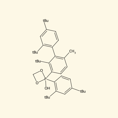 Cc1ccc(P2(O)(c3ccc(C(C)(C)C)cc3C(C)(C)C)OCO2)c(C(C)(C)C)c1-c1ccc(C(C)(C)C)cc1C(C)(C)C